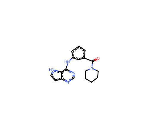 O=C(c1cccc(Nc2ncnc3cc[nH]c23)c1)N1CCCCC1